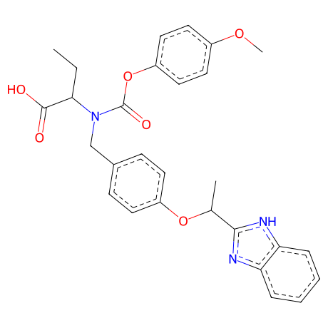 CCC(C(=O)O)N(Cc1ccc(OC(C)c2nc3ccccc3[nH]2)cc1)C(=O)Oc1ccc(OC)cc1